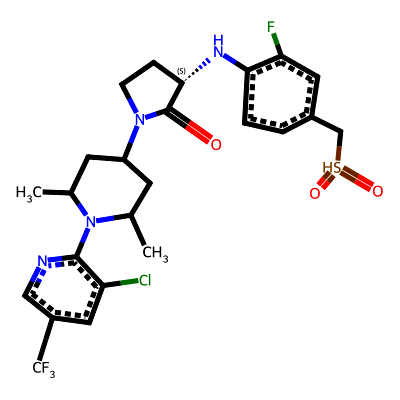 CC1CC(N2CC[C@H](Nc3ccc(C[SH](=O)=O)cc3F)C2=O)CC(C)N1c1ncc(C(F)(F)F)cc1Cl